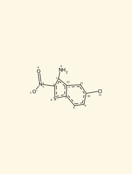 Nc1c([N+](=O)[O-])sc2ccc(Cl)cc12